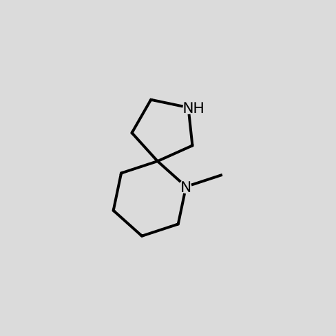 CN1CCCCC12CCNC2